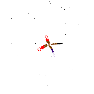 CS(=O)(=O)I